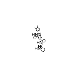 Cc1ccc(-c2nn3cc(C(=O)NCc4n[nH]c5c4CCCC5)cc3c(=O)[nH]2)cc1C